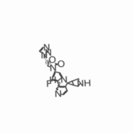 NC1(c2ccncc2-c2ccc(N3C[C@H](Cn4ccnn4)OC3=O)cc2F)C2CNCC21